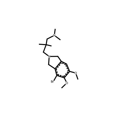 COc1cc2c(c(Br)c1OC)CN(CC(C)(C)CN(C)C)C2